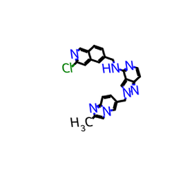 Cc1cn2cc(Cn3cc4c(NCc5ccc6cnc(Cl)cc6c5)nccc4n3)ccc2n1